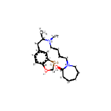 CC(C)N(CCCCN1CCCCCC1=O)C(C)Cc1ccc2c(c1)[SH]CO2